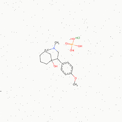 COc1ccc(C(CN(C)C)C2(O)CCCCC2)cc1.Cl.O=P(O)(O)O